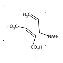 C=CCNC.O=C(O)/C=C\C(=O)O